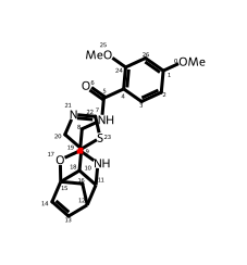 COc1ccc(C(=O)NCC2NC3C4C=CC(C4)(O2)C3C2CN=CS2)c(OC)c1